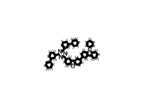 c1ccc(-c2cccc(-c3nc(-c4cccc(-c5ccccc5)c4)nc(-c4ccc5oc6ccc(-c7ccc8c(c7)c7ccccc7n8-c7ccccc7)cc6c5c4)n3)c2)cc1